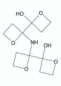 OC1(C2(NC3(C4(O)CCO4)CCO3)CCO2)CCO1